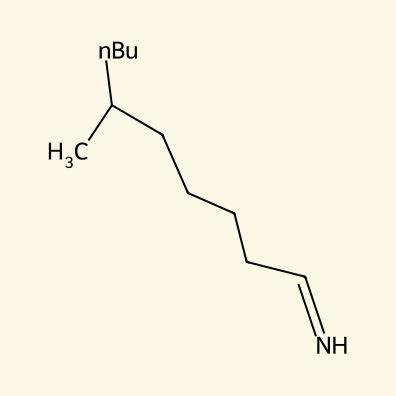 CCCCC(C)CCCCC=N